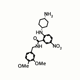 COc1ccc(CNC(=O)c2cc([N+](=O)[O-])ccc2N[C@H]2CC[C@@H](N)CC2)cc1OC